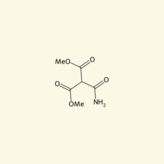 COC(=O)C(C(N)=O)C(=O)OC